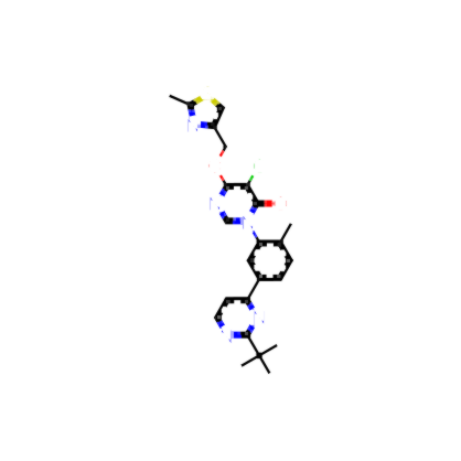 Cc1nc(COc2ncn(-c3cc(-c4ccnc(C(C)(C)C)n4)ccc3C)c(=O)c2Cl)cs1